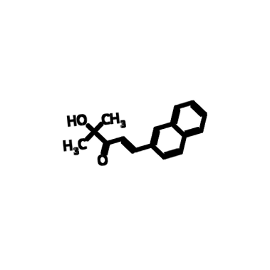 CC(C)(O)C(=O)C=Cc1ccc2ccccc2c1